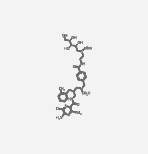 CCCCCCN(CCNC(=O)c1ccc(CN(CC(CNC(=O)c2nc(Cl)c(N)nc2N)Cc2ccccc2C)C(=O)O)cc1)C[C@H](O)[C@@H](O)[C@H](O)CO